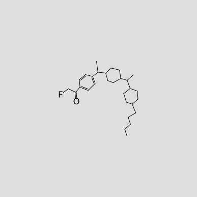 CCCCCC1CCC(C(C)C2CCC(C(C)c3ccc(C(=O)CF)cc3)CC2)CC1